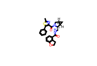 Cc1nc(C(=O)N2C[C@@H]3C[C@@H]3[C@H]2CNC(=O)c2cccc3c2CCO3)c(-c2ccccc2)s1